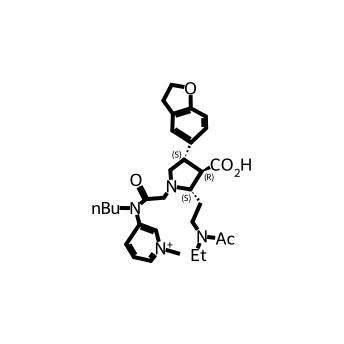 CCCCN(C(=O)CN1C[C@H](c2ccc3c(c2)CCO3)[C@@H](C(=O)O)[C@@H]1CCN(CC)C(C)=O)c1ccc[n+](C)c1